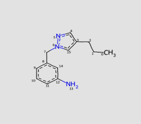 CCCc1cnn(Cc2cccc(N)c2)c1